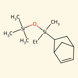 CC[Si](C)(O[Si](C)(C)C)C1CC2C=CC1C2